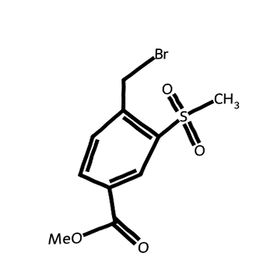 COC(=O)c1ccc(CBr)c(S(C)(=O)=O)c1